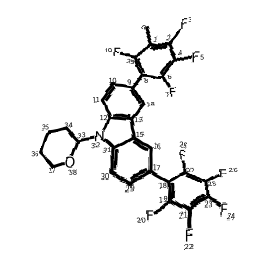 Cc1c(F)c(F)c(F)c(-c2ccc3c(c2)c2cc(-c4c(F)c(F)c(F)c(F)c4F)ccc2n3C2CCCCO2)c1F